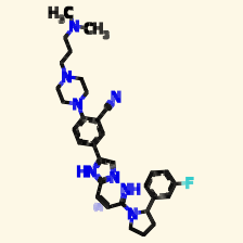 CN(C)CCCN1CCN(c2ccc(-c3cnc(/C=C\C(=N)N4CCCC4c4cccc(F)c4)[nH]3)cc2C#N)CC1